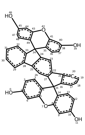 Oc1ccc2c(c1)Oc1cc(O)ccc1C21c2ccccc2-c2cc3c(cc21)-c1ccccc1C31c2ccc(O)cc2Oc2cc(O)ccc21